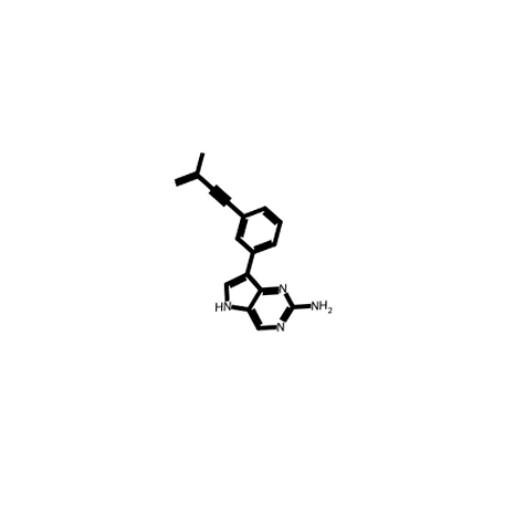 C=C(C)C#Cc1cccc(-c2c[nH]c3cnc(N)nc23)c1